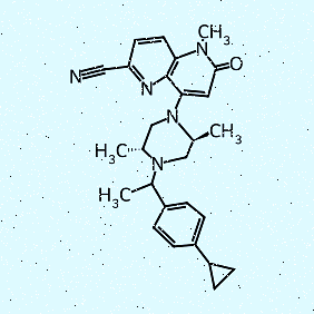 CC(c1ccc(C2CC2)cc1)N1C[C@H](C)N(c2cc(=O)n(C)c3ccc(C#N)nc23)C[C@H]1C